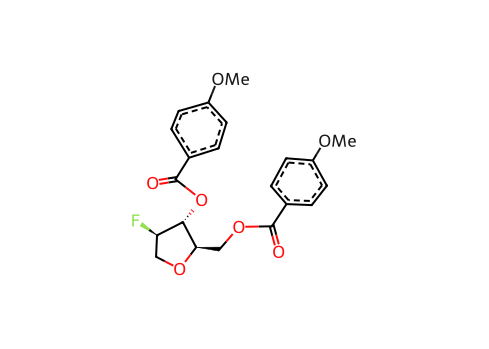 COc1ccc(C(=O)OC[C@H]2OC[C@@H](F)[C@@H]2OC(=O)c2ccc(OC)cc2)cc1